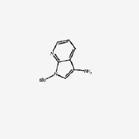 CC(C)(C)n1cc(N)c2cccnc21